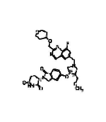 COC[C@@H]1CN(Cc2cc(F)c3nc(COC4CCOCC4)ncc3c2)C[C@H]1Oc1ccc2c(c1)CN([C@H]1CCC(=O)NC1=O)C2=O